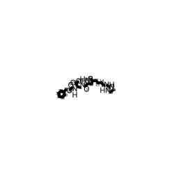 O=C(NC(CNC(=O)C1=NOC(CCCCNC2=NCCN2)C1)C(=O)O)OCc1ccccc1